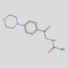 CCCCC(=O)NCC(=O)c1ccc(N2CCOCC2)cc1